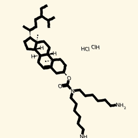 CCC(CCC(C)[C@H]1CC[C@H]2[C@@H]3CC=C4C[C@@H](OC(=O)N(CCCCCCN)CCCCCCN)CC[C@]4(C)[C@H]3CC[C@]12C)C(C)C.Cl.Cl